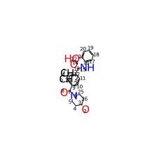 C=C.O=C1CCN(C(=O)c2ccc(C(=O)Nc3ccccc3O)cc2)CC1